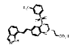 O=C(O)CC[C@H]1CN(S(=O)(=O)c2cccc(C(F)(F)F)c2)c2cc(/C=C/c3cccc4cn[nH]c34)ccc2O1